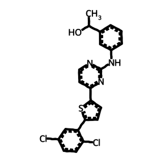 CC(O)c1cccc(Nc2nccc(-c3ccc(-c4cc(Cl)ccc4Cl)s3)n2)c1